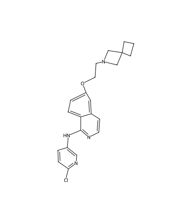 Clc1ccc(Nc2nccc3cc(OCCN4CC5(CCC5)C4)ccc23)cn1